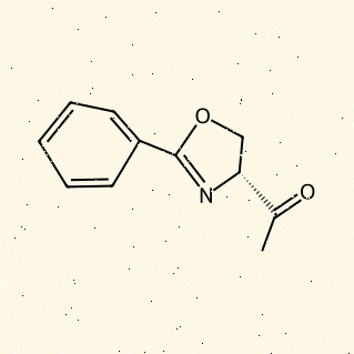 CC(=O)[C@H]1COC(c2ccccc2)=N1